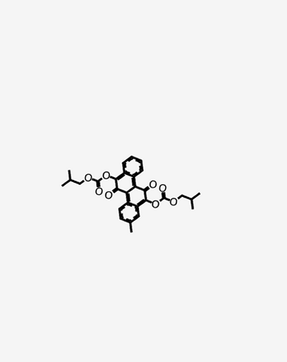 Cc1ccc2c(c1)=C(OC(=O)OCC(C)C)C(=O)C1=c3ccccc3=C(OC(=O)OCC(C)C)C(=O)C=21